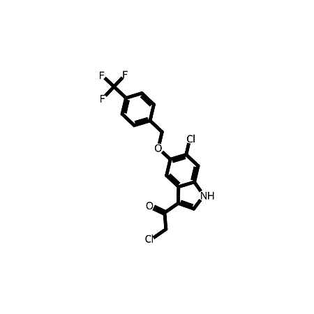 O=C(CCl)c1c[nH]c2cc(Cl)c(OCc3ccc(C(F)(F)F)cc3)cc12